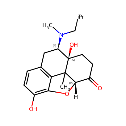 CC(C)CN(C)[C@@H]1Cc2ccc(O)c3c2C2(C)[C@@H](O3)C(=O)CC[C@@]12O